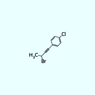 CC(Br)C#Cc1ccc(Cl)cc1